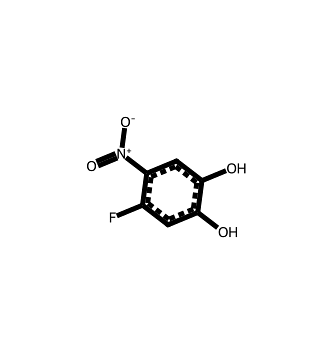 O=[N+]([O-])c1cc(O)c(O)cc1F